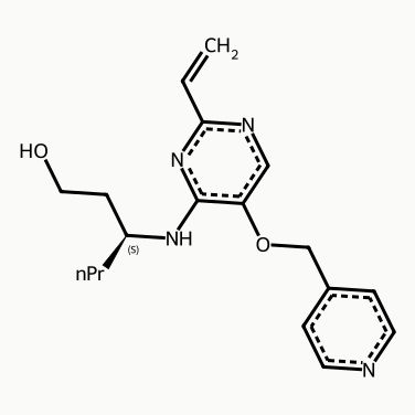 C=Cc1ncc(OCc2ccncc2)c(N[C@@H](CCC)CCO)n1